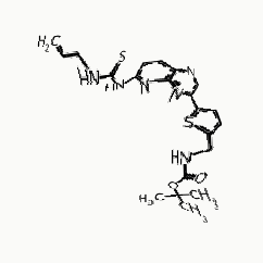 C=CCNC(=S)Nc1ccc2ncc(-c3ccc(CNC(=O)OC(C)(C)C)s3)nc2n1